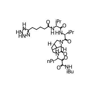 CCCC(C(=O)C(=O)N[C@H](C)CC)N1CC[C@H]2CN(C(=O)[C@@H](NC(=O)[C@@H](NC(=O)CCCCC3=NNNN3)C(C)C)C(C)C)[C@H](C1=O)[C@H]2C